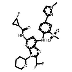 Cn1ccc(-c2ccc(Nc3cc(NC(=O)C4C[C@@H]4F)nc4c3nc(C(F)F)n4C3CCCCO3)c(S(C)(=O)=O)c2)n1